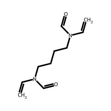 C=CN(C=O)CCCCN(C=C)C=O